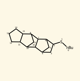 CCCCSC1CC2CC1C1C3CC(C4CCCC43)C21